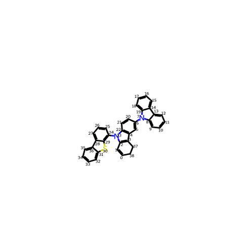 C1=Cc2c(c3cc(-n4c5ccccc5c5ccccc54)ccc3n2-c2cccc3c2sc2ccccc23)CC1